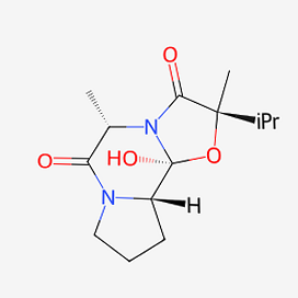 CC(C)[C@@]1(C)O[C@@]2(O)[C@@H]3CCCN3C(=O)[C@H](C)N2C1=O